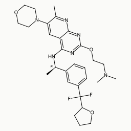 Cc1nc2nc(OCCN(C)C)nc(N[C@H](C)c3cccc(C(F)(F)C4CCCO4)c3)c2cc1N1CCOCC1